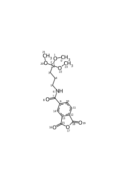 CO[Si](CCCNC(=O)c1ccc2c(c1)C(=O)OC2=O)(OC)OC